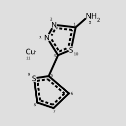 Nc1nnc(-c2cccs2)s1.[Cu]